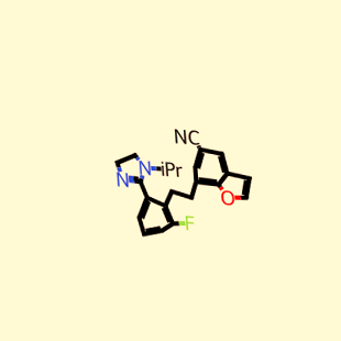 CC(C)N1CCN=C1c1cccc(F)c1CCc1cc(C#N)cc2ccoc12